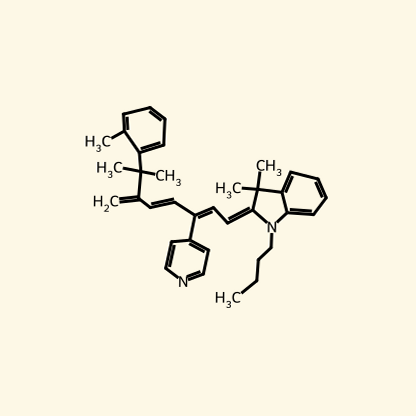 C=C(/C=C/C(=C/C=C1/N(CCCC)c2ccccc2C1(C)C)c1ccncc1)C(C)(C)c1ccccc1C